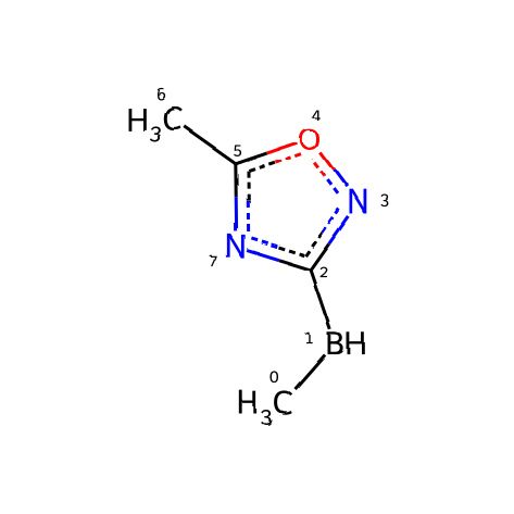 CBc1noc(C)n1